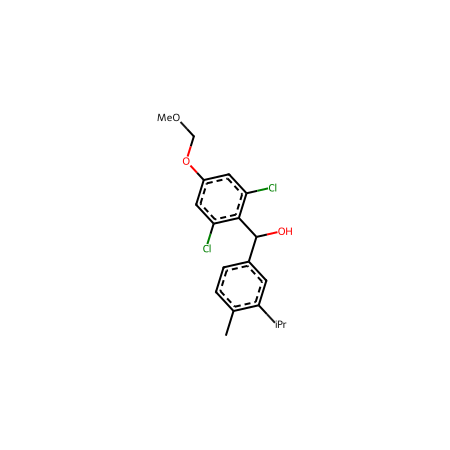 COCOc1cc(Cl)c(C(O)c2ccc(C)c(C(C)C)c2)c(Cl)c1